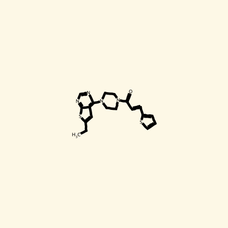 CCc1cc2c(N3CCN(C(=O)C=Cc4cccs4)CC3)ncnc2s1